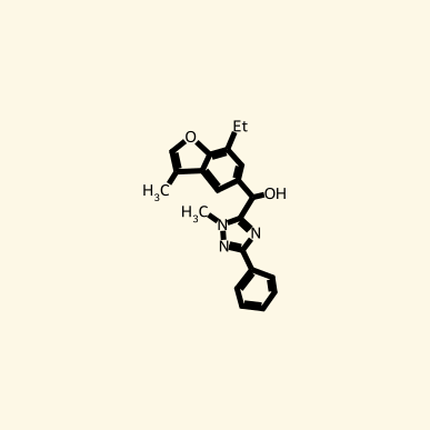 CCc1cc(C(O)c2nc(-c3ccccc3)nn2C)cc2c(C)coc12